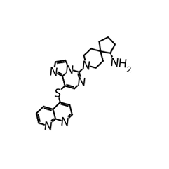 N[C@@H]1CCCC12CCN(c1ncc(Sc3ccnc4ncccc34)c3nccn13)CC2